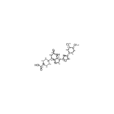 COc1ccc(-c2noc(-c3cnn4c(C5CCN(C(=O)O)CC5)cc(=O)[nH]c34)n2)cc1Cl